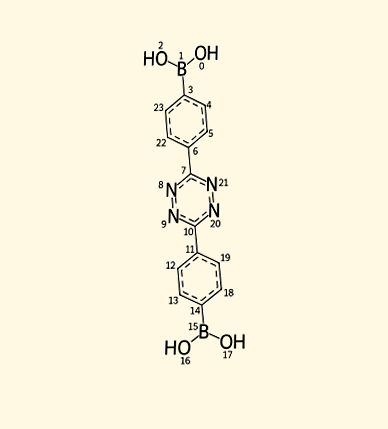 OB(O)c1ccc(-c2nnc(-c3ccc(B(O)O)cc3)nn2)cc1